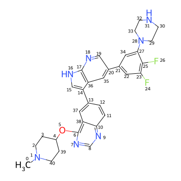 CN1CCC(Oc2ncnc3ccc(-c4c[nH]c5ncc(-c6cc(F)c(F)c(N7CCNCC7)c6)cc45)cc23)CC1